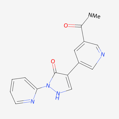 CNC(=O)c1cncc(-c2c[nH]n(-c3ccccn3)c2=O)c1